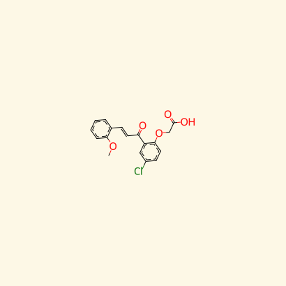 COc1ccccc1/C=C/C(=O)c1cc(Cl)ccc1OCC(=O)O